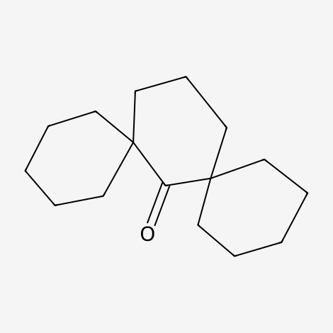 O=C1C2(CCCCC2)CCCC12CCCCC2